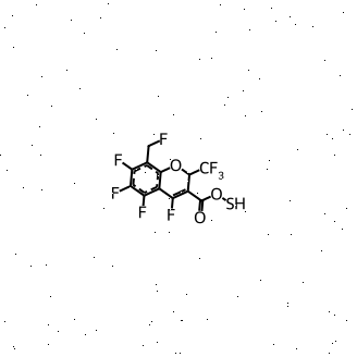 O=C(OS)C1=C(F)c2c(F)c(F)c(F)c(CF)c2OC1C(F)(F)F